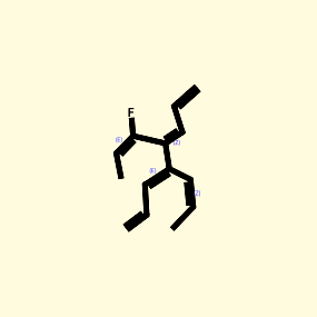 C=C/C=C(C(\F)=C/C)/C(/C=C\C)=C/C=C